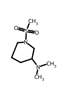 CN(C)C1CCCN(S(C)(=O)=O)C1